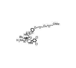 CC[C@H](C)[C@H](NC(=O)[C@@]1(NC(=O)C(CCc2ccc(OCCOCCOCCOCCOC)cc2)NC(=O)O)CCc2[nH]c3c(Cl)cc(Cl)cc3c2C1)C(N)=S